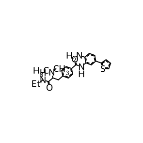 CCNC(=O)C(Cc1ccc(C(=O)Nc2cc(-c3cccs3)ccc2N)cc1)N(C)C